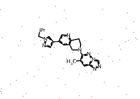 Cc1cc2nncn2nc1N1CCc2ncc(-c3cnn(CC(C)C)c3)cc2C1